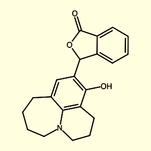 O=C1OC(c2cc3c4c(c2O)CCCN4CCCC3)c2ccccc21